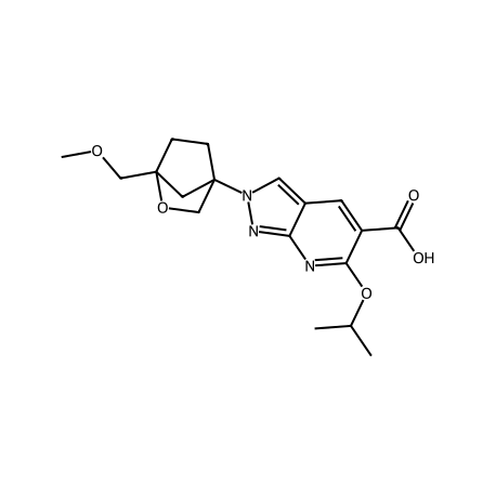 COCC12CCC(n3cc4cc(C(=O)O)c(OC(C)C)nc4n3)(CO1)C2